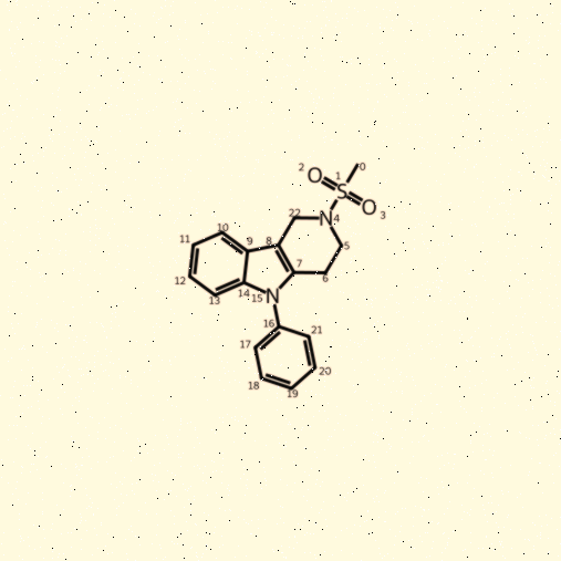 CS(=O)(=O)N1CCc2c(c3ccccc3n2-c2ccccc2)C1